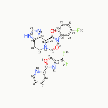 O=C(c1oc(-c2ccccn2)nc1C(F)F)N1CCc2[nH]cnc2[C@H]1c1nc2cc(F)ccc2o1